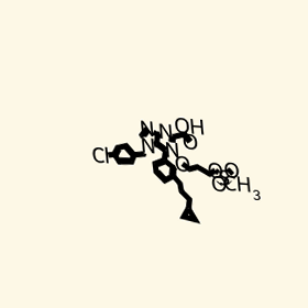 CS(=O)(=O)OCCCOc1c(CCCC2CC2)cccc1-c1nc(C(=O)O)nc2ncn(Cc3ccc(Cl)cc3)c12